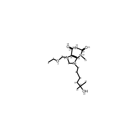 CCOCN1CN(CCCCC(C)(C)O)c2c1c(=O)[nH]c(=O)n2C